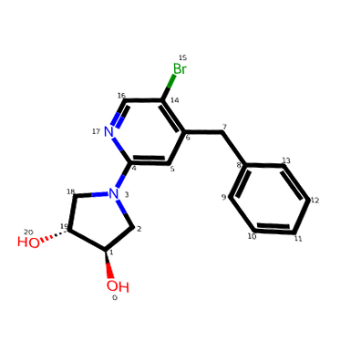 O[C@@H]1CN(c2cc(Cc3ccccc3)c(Br)cn2)C[C@H]1O